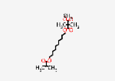 C=C(C)C(=O)OCCCCCCCCCCOC(=O)C(C)(C)C(=O)OC